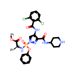 CC(C)OC(=O)[C@@H](NP(=O)(Oc1ccccc1)n1cc(NC(=O)c2c(Cl)cccc2Cl)c(C(=O)NC2CCNCC2)n1)C(C)C